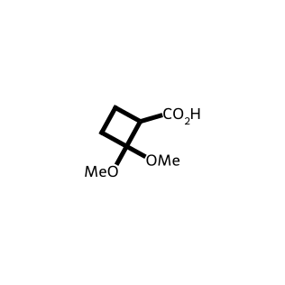 COC1(OC)CCC1C(=O)O